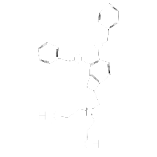 CCCN(CCC)CC1Cc2c1ccc(OCc1ccccc1)c2OCc1ccccc1